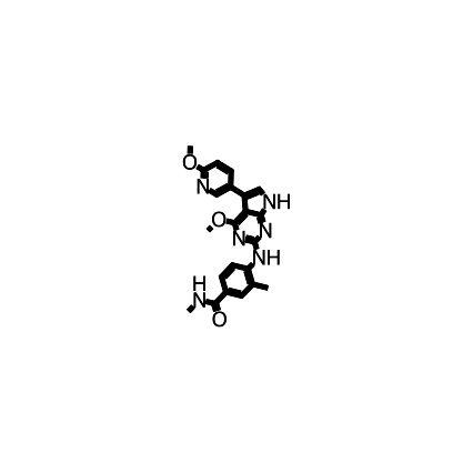 CNC(=O)c1ccc(Nc2nc(OC)c3c(-c4ccc(OC)nc4)c[nH]c3n2)c(C)c1